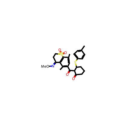 CO/N=C1\CCS(=O)(=O)c2c(C)cc(C(=O)C3C(=O)CCCC3Sc3ccc(C)cc3)c(C)c21